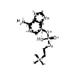 C[N+](C)(C)CCOP(=O)(O)On1cnc(N)c2ncnc1-2